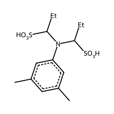 CCC(N(c1cc(C)cc(C)c1)C(CC)S(=O)(=O)O)S(=O)(=O)O